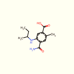 CCC(C)Nc1cc(C(=O)O)c(C)cc1C(N)=O